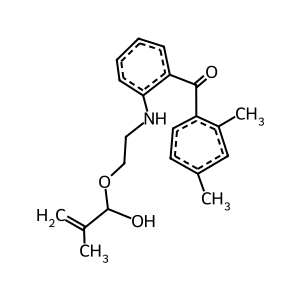 C=C(C)C(O)OCCNc1ccccc1C(=O)c1ccc(C)cc1C